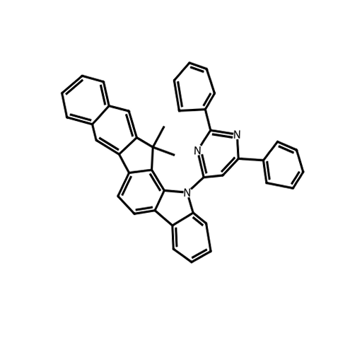 CC1(C)c2cc3ccccc3cc2-c2ccc3c4ccccc4n(-c4cc(-c5ccccc5)nc(-c5ccccc5)n4)c3c21